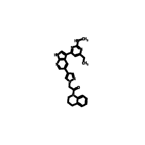 CCc1cc(-c2c[nH]c3ncc(-c4cnn(CC(=O)N5CCCc6ccccc65)c4)cc23)nc(NC)n1